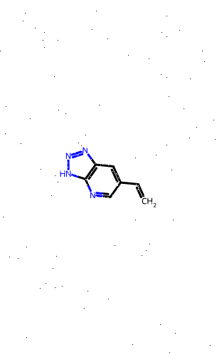 C=Cc1cnc2[nH]nnc2c1